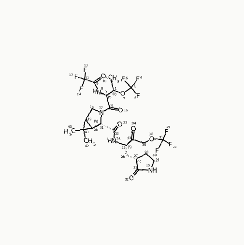 C[C@@H](OC(F)(F)F)[C@H](NC(=O)C(F)(F)F)C(=O)N1CC2C([C@H]1C(=O)N[C@@H](C[C@@H]1CCNC1=O)C(=O)COC(F)(F)F)C2(C)C